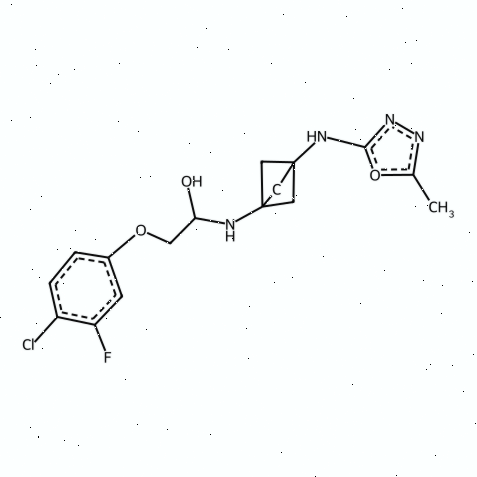 Cc1nnc(NC23CC(NC(O)COc4ccc(Cl)c(F)c4)(C2)C3)o1